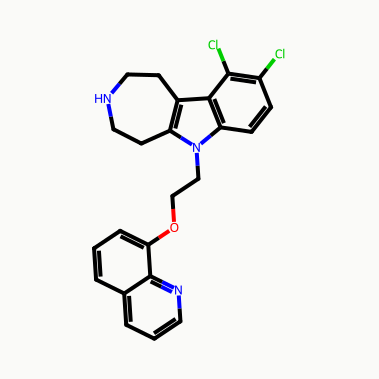 Clc1ccc2c(c1Cl)c1c(n2CCOc2cccc3cccnc23)CCNCC1